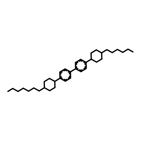 CCCCCCCC1CCC(c2ccc(-c3ccc(C4CCC(CCCCCC)CC4)cc3)cc2)CC1